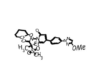 CC[C@](C)(C(=O)N(OC1CCCCO1)n1ccc(-c2ccc(-n3ncc(OC)n3)cc2)cc1=O)S(C)(=O)=O